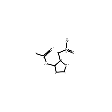 CC(=O)OC1CCOC1C[N+](=O)[O-]